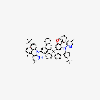 CC1=CC(c2ccccc2C)=C(N(c2ccc(C(C)(C)C)cc2)c2ccc3c4c(c5ccccc5c3c2)-c2c(cc(N(c3ccc(C(C)(C)C)cc3)c3ncc(C)cc3-c3ccccc3C)c3c2oc2ccccc23)C4(c2ccccc2)c2ccccc2)NC1